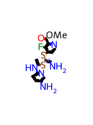 C=C(Nc1ccc(N)cn1)S/C(=C\N)Sc1ccnc(C(=O)OC)c1F